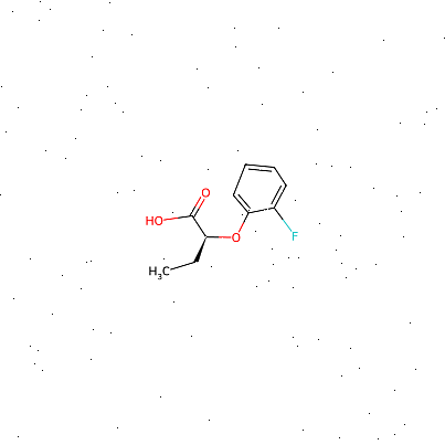 CC[C@H](Oc1ccccc1F)C(=O)O